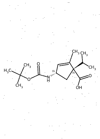 CC1=C[C@@H](NC(=O)OC(C)(C)C)C[C@]1(C(=O)O)C(C)C